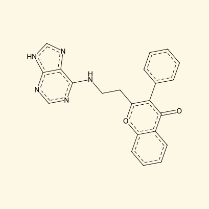 O=c1c(-c2ccccc2)c(CCNc2ncnc3[nH]cnc23)oc2ccccc12